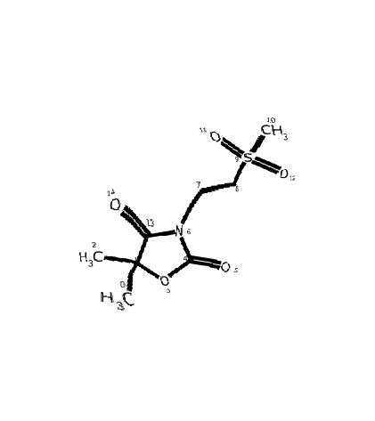 CC1(C)OC(=O)N(CCS(C)(=O)=O)C1=O